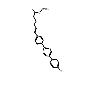 CCCCCOC(C)CCC/C=C/c1ccc(-c2ncc(-c3ccc(O)cc3)cn2)cc1